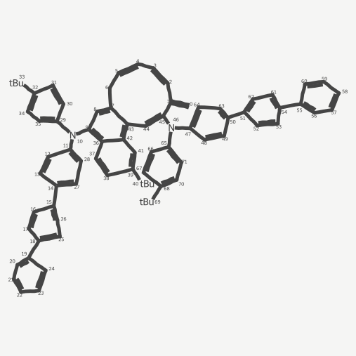 C=C1/C=C\C=C/Cc2cc(N(c3ccc(-c4ccc(-c5ccccc5)cc4)cc3)c3ccc(C(C)(C)C)cc3)c3ccc(C(C)(C)C)cc3c2/C=C\1N(c1ccc(-c2ccc(-c3ccccc3)cc2)cc1)c1ccc(C(C)(C)C)cc1